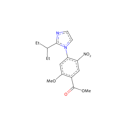 CCC(CC)c1nccn1-c1cc(OC)c(C(=O)OC)cc1[N+](=O)[O-]